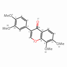 COc1ccc(-c2coc3c(OC)c(OC)ccc3c2=O)cc1OC